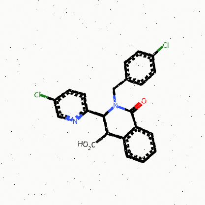 O=C(O)C1c2ccccc2C(=O)N(Cc2ccc(Cl)cc2)C1c1ccc(Cl)cn1